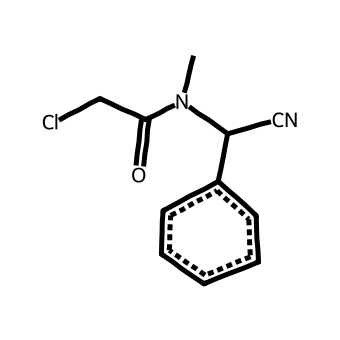 CN(C(=O)CCl)C(C#N)c1ccccc1